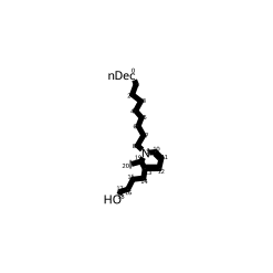 CCCCCCCCCCCCCCCCCCN1C=CC=C(CCCCO)C1I